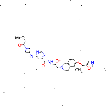 COCC(=O)N1CC(Nc2cc(C(=O)NCC(O)CN3CCc4c(ccc(OCc5cnco5)c4C)C3)ncn2)C1